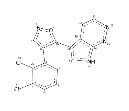 Clc1cccc(-c2cnoc2-c2c[nH]c3nnccc23)c1Cl